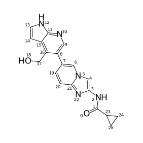 O=C(Nc1cn2cc(-c3cnc4[nH]ccc4c3CO)ccc2n1)C1CC1